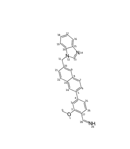 COc1cc(-c2ccc3cc(Cn4cnc5ccccc54)ccc3c2)ccc1C=N